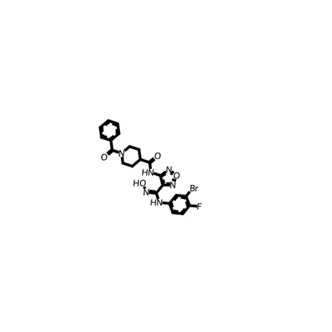 O=C(Nc1nonc1/C(=N\O)Nc1ccc(F)c(Br)c1)C1CCN(C(=O)c2ccccc2)CC1